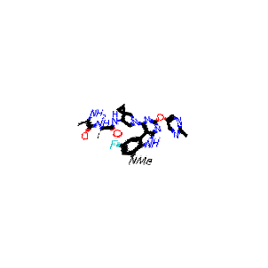 CNc1cc(F)cc2c1[nH]c1nc(Oc3cnc(C)nc3)nc(N3C[C@@H](NC(=O)[C@H](C)NC(=O)[C@@H](C)N)C4(CC4)C3)c12